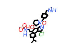 CNCc1ccc(C(=O)N2CCC[C@@H](C(O)(CCCNC(=O)OC)c3cncc(Cl)c3-c3cccc(C(C)C)c3)C2)cc1